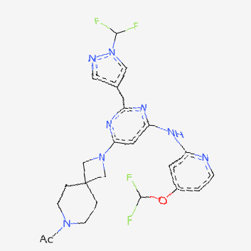 CC(=O)N1CCC2(CC1)CN(c1cc(Nc3cc(OC(F)F)ccn3)nc(-c3cnn(C(F)F)c3)n1)C2